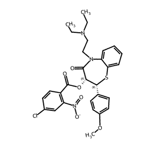 CCN(CC)CCN1C(=O)[C@@H](OC(=O)c2ccc(Cl)cc2[N+](=O)[O-])[C@@H](c2ccc(OC)cc2)Sc2ccccc21